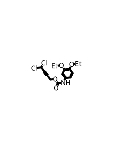 CCOc1ccc(NC(=O)OCC#CC(Cl)Cl)cc1OCC